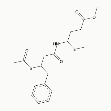 COC(=O)CCC(NC(=O)CC(Cc1ccccc1)SC(C)=O)SC